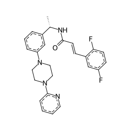 C[C@H](NC(=O)/C=C/c1cc(F)ccc1F)c1cccc(N2CCN(c3ccccn3)CC2)c1